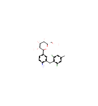 Cc1cc(F)c(Cc2cc(C3O[C@H](CO)[C@@H](O)[C@H](O)[C@H]3O)ccc2N)c(F)c1